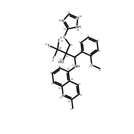 COc1ccccc1C(Nc1cccc2nc(C)ccc12)C(O)(CSc1ncn[nH]1)C(F)(F)F